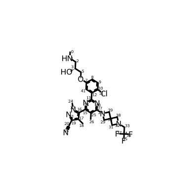 CNC[C@@H](O)COc1ccc(Cl)c(-c2nc(-c3c(C)c(C#N)nn3C)c(C)c(N3CC4(CN(CC(F)(F)F)C4)C3)n2)c1